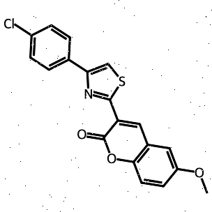 COc1ccc2oc(=O)c(-c3nc(-c4ccc(Cl)cc4)cs3)cc2c1